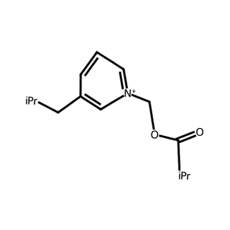 CC(C)Cc1ccc[n+](COC(=O)C(C)C)c1